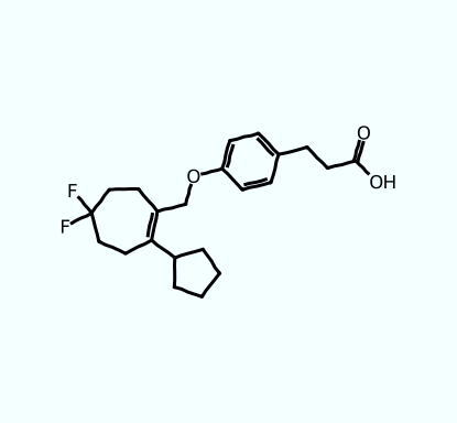 O=C(O)CCc1ccc(OCC2=C(C3CCCC3)CCC(F)(F)CC2)cc1